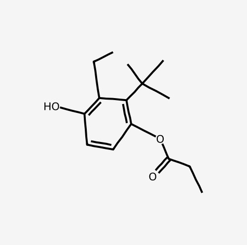 CCC(=O)Oc1ccc(O)c(CC)c1C(C)(C)C